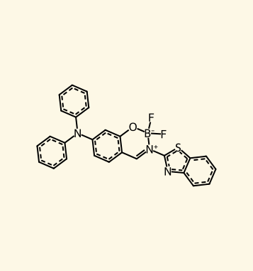 F[B-]1(F)Oc2cc(N(c3ccccc3)c3ccccc3)ccc2C=[N+]1c1nc2ccccc2s1